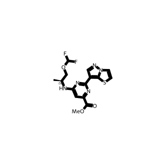 COC(=O)c1cc(N[C@@H](C)COC(F)F)nc(-c2cnn3ccsc23)n1